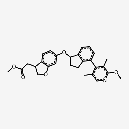 COC(=O)CC1COc2cc(O[C@@H]3CCc4c(-c5c(C)cnc(OC)c5C)cccc43)ccc21